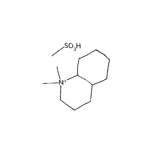 CS(=O)(=O)O.C[N+]1(C)CCCC2CCCCC21